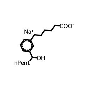 CCCCCC(O)c1cccc(CCCCCC(=O)[O-])c1.[Na+]